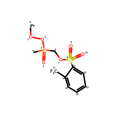 CC(C)OOP(C)(=O)COS(=O)(=O)c1ccccc1C(F)(F)F